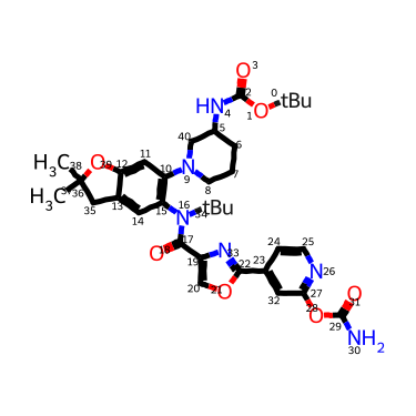 CC(C)(C)OC(=O)NC1CCCN(c2cc3c(cc2N(C(=O)c2coc(-c4ccnc(OC(N)=O)c4)n2)C(C)(C)C)CC(C)(C)O3)C1